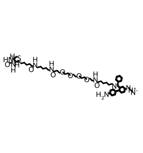 [N-]=[N+]=Nc1ccc2c(c1)c(-c1ccccc1)[n+](CCCCCC(=O)NCCOCCOCCOCCOCCC(=O)NCCCCCNC(=O)CCCC[C@@H]1SC[C@@H]3NC(=O)N[C@@H]31)c1cc(N)ccc21